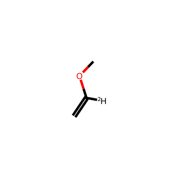 [2H]C(=C)OC